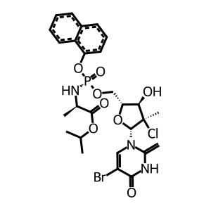 C=C1NC(=O)C(Br)=CN1[C@@H]1O[C@H](CO[P@@](=O)(N[C@H](C)C(=O)OC(C)C)Oc2cccc3ccccc23)[C@@H](O)[C@@]1(C)Cl